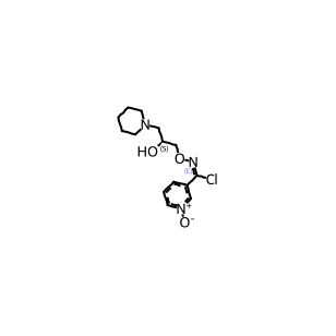 [O-][n+]1cccc(/C(Cl)=N\OC[C@@H](O)CN2CCCCC2)c1